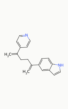 C=C(CCC(=C)c1ccc2[nH]ccc2c1)c1ccncc1